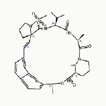 CC(C)[C@@H]1NC(=O)[C@@]2(/C=C/c3ccc4ccc(nc4c3)[C@@H](C)OC(=O)[C@@H]3CCCN(N3)C(=O)[C@H](C)NC1=O)CCCN2S(C)(=O)=O